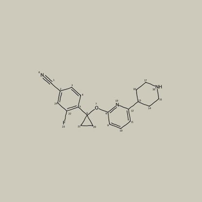 N#Cc1ccc(C2(Oc3cccc(C4CCNCC4)n3)CC2)c(F)c1